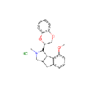 COc1cccc2c1C1C(C2)CN(C)C1[C@@H]1COc2ccccc2O1.Cl